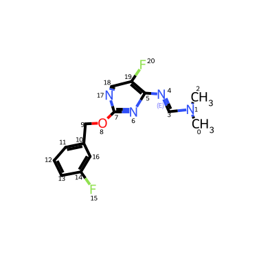 CN(C)/C=N/c1nc(OCc2cccc(F)c2)ncc1F